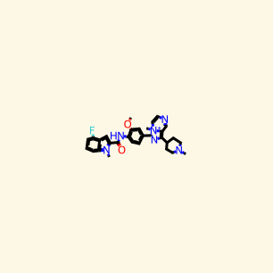 COc1cc(C2=NC(C3CCN(C)CC3)=C3C=NC=C[N+]23C)ccc1NC(=O)c1cc2c(F)cccc2n1C